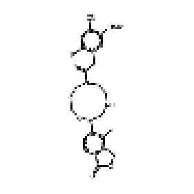 COc1cc(CC(=O)N2CCCO[C@H](c3ccc4c(c3C)COC4=O)CNCC2)c(F)cc1C#N